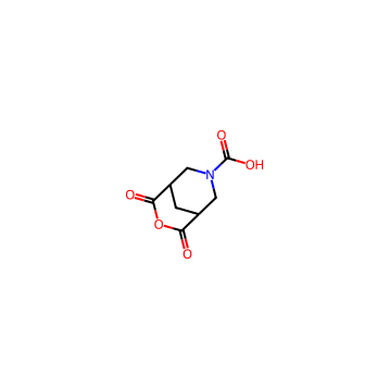 O=C1OC(=O)C2CC1CN(C(=O)O)C2